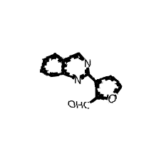 O=Cc1occc1-c1ncc2ccccc2n1